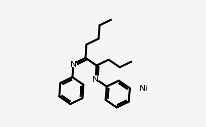 CCCCC(=Nc1ccccc1)C(CCC)=Nc1ccccc1.[Ni]